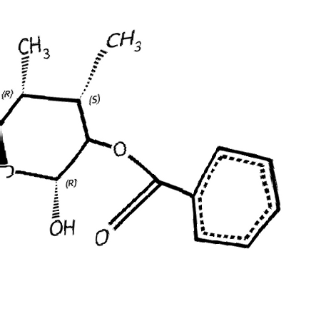 C[C@@H]1C(OC(=O)c2ccccc2)[C@H](O)OC[C@@H]1C